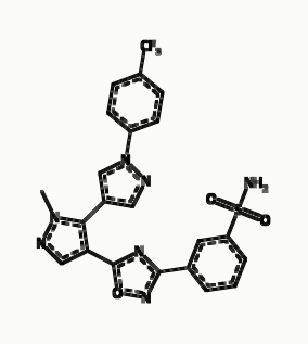 Cn1ncc(-c2nc(-c3cccc(S(N)(=O)=O)c3)no2)c1-c1cnn(-c2ccc(C(F)(F)F)cc2)c1